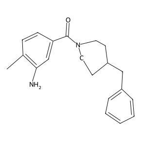 Cc1ccc(C(=O)N2CCC(Cc3ccccc3)CC2)cc1N